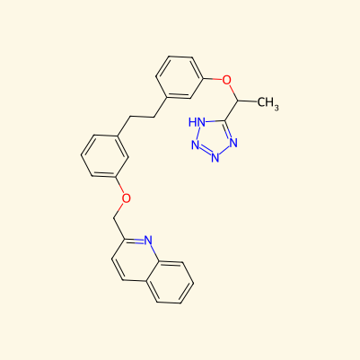 CC(Oc1cccc(CCc2cccc(OCc3ccc4ccccc4n3)c2)c1)c1nnn[nH]1